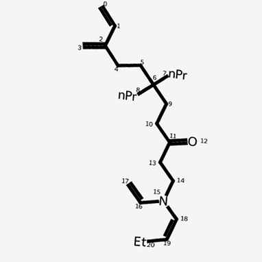 C=CC(=C)CCC(CCC)(CCC)CCC(=O)CCN(C=C)/C=C\CC